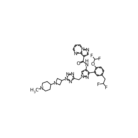 CN1CCC(N2CC(n3nnc(Cn4cc(NC(=O)c5cnn6cccnc56)c(-c5cc(CC(F)F)ccc5OC(F)F)n4)n3)C2)CC1